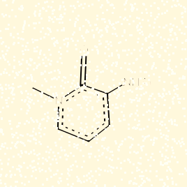 CC(=O)Nc1cccn(C)c1=O